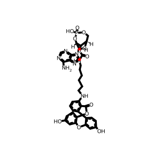 Nc1ncnc2c1ncn2[C@@H]1O[C@@H]2COP(=O)(O)O[C@@H]1[C@@H]2OC(=O)NCCCCCCNc1cccc2c1C(=O)OC21c2ccc(O)cc2Oc2cc(O)ccc21